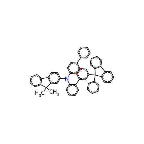 CC1(C)c2ccccc2-c2ccc(N(c3ccc(-c4ccccc4)cc3)c3ccccc3-c3cccc(C4(c5ccccc5)c5ccccc5-c5ccccc54)c3)cc21